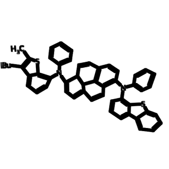 CCC(C)c1c(C)sc2c(N(C3=CC=C4C=Cc5c(N(c6ccccc6)c6cccc7c6sc6ccccc67)ccc6c5C4C3C=C6)c3ccccc3)cccc12